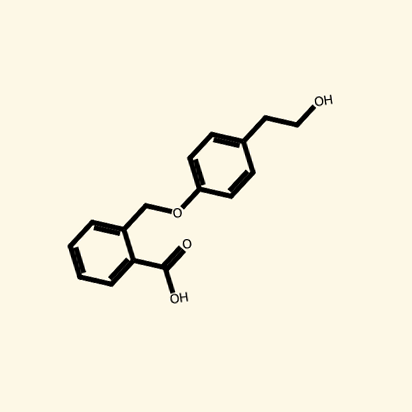 O=C(O)c1ccccc1COc1ccc(CCO)cc1